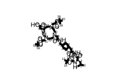 CC(C)C[C@@H](NC(=O)OC(C)(C)C)C(=O)NNC(=O)Cc1ccc(CNC(=O)CN2CCN(CC(=O)OC(C)(C)C)CCN(CC(=O)O)CCN(CC(=O)OC(C)(C)C)CC2)cc1